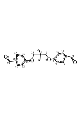 CC(C)(COc1ccc(C=O)cc1)COc1ccc(C=O)cc1